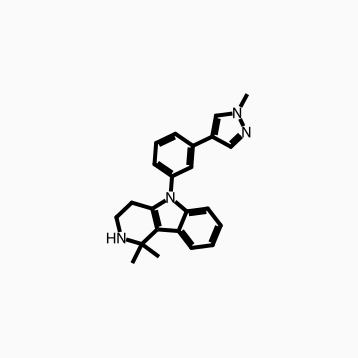 Cn1cc(-c2cccc(-n3c4c(c5ccccc53)C(C)(C)NCC4)c2)cn1